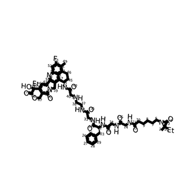 CCC1(C)C(=O)N1CCCCCC(=O)NCC(=O)NCC(=O)N[C@@H](Cc1ccccc1)C(=O)NCC(=O)NCCNCC(=O)N[C@H]1CCc2c(C)c(F)cc3nc4c(c1c23)Cn1c-4cc2c(c1=O)COC(=O)[C@]2(O)CC